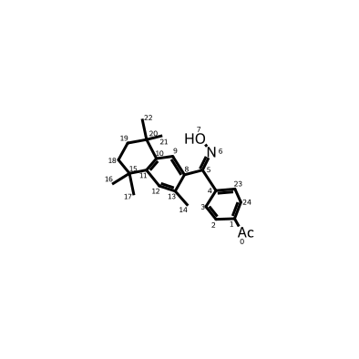 CC(=O)c1ccc(/C(=N/O)c2cc3c(cc2C)C(C)(C)CCC3(C)C)cc1